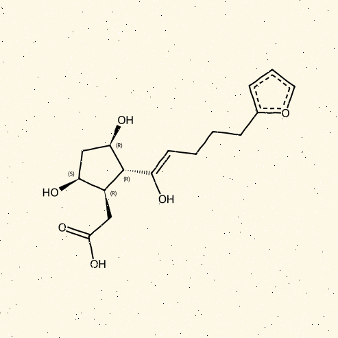 O=C(O)C[C@@H]1[C@@H](C(O)=CCCCc2ccco2)[C@H](O)C[C@@H]1O